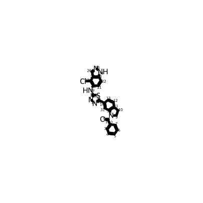 O=C(c1ccccc1)N1CCc2ccc(-c3nnc(Nc4ccc5[nH]ncc5c4Cl)s3)cc21